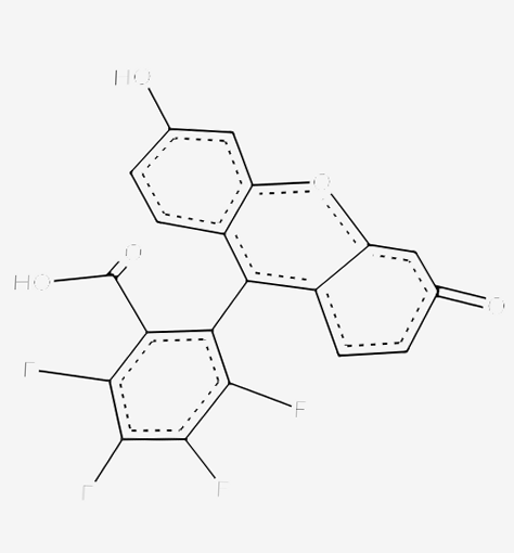 O=C(O)c1c(F)c(F)c(F)c(F)c1-c1c2ccc(=O)cc-2oc2cc(O)ccc12